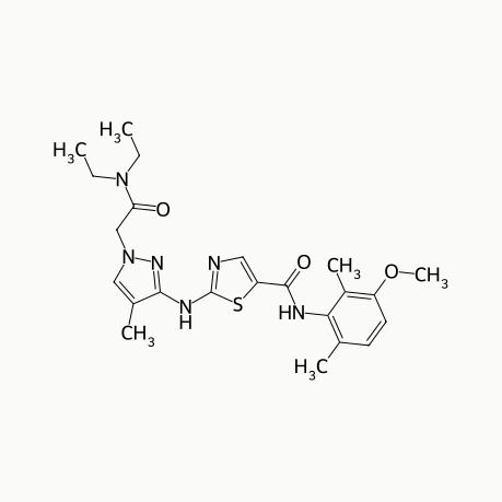 CCN(CC)C(=O)Cn1cc(C)c(Nc2ncc(C(=O)Nc3c(C)ccc(OC)c3C)s2)n1